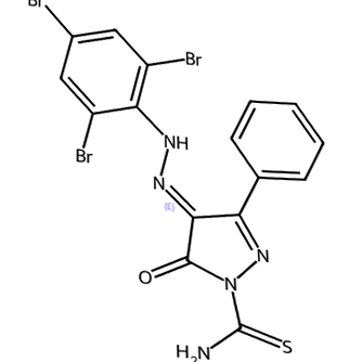 NC(=S)N1N=C(c2ccccc2)/C(=N\Nc2c(Br)cc(Br)cc2Br)C1=O